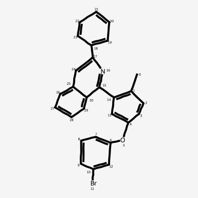 Cc1ccc(Oc2cccc(Br)c2)cc1-c1nc(-c2ccccc2)cc2ccccc12